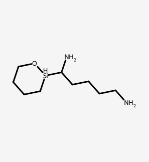 NCCCCC(N)[SiH]1CCCCO1